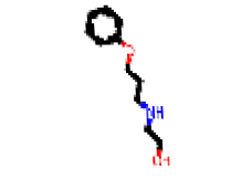 OCCNCCCOc1ccccc1